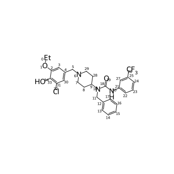 CCOc1cc(CN2CCC(N(Cc3ccccc3)C(=O)Nc3cccc(C(F)(F)F)c3)CC2)cc(Cl)c1O